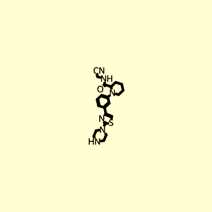 N#CCNC(=O)C1CCCCN1c1cccc(-c2csc(N3CCNCC3)n2)c1